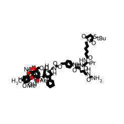 COc1c(C)cc2c(c1O)C1[C@@H]3[C@@H]4SC[C@]5(N[C@@H](CNC(=O)OCc6ccc(NC(=O)[C@H](CCCNC(N)=O)NC(=O)[C@@H](NC(=O)CCCCCN7C(=O)CC(SC(C)(C)C)C7=O)C(C)C)cc6)Cc6c5oc5ccccc65)C(=O)OC[C@@H](c5c6c(c(C)c(OC(C)=O)c54)OCO6)N3C(C#N)(C2)CN1C